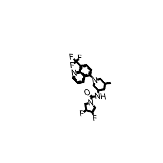 CC1CC(NC(=O)N2CC(F)C(F)C2)CN(c2ccc(C(F)(F)F)c3ncccc23)C1